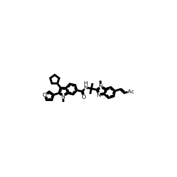 CC(=O)/C=C/c1ccc2nc(C(C)(C)NC(=O)c3ccc4c(C5CCCC5)c(-c5ccoc5)n(C)c4c3)n(C)c2c1